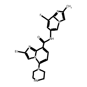 CCc1cn2c(N3CCNCC3)ccc(C(=O)Nc3cc(F)c4nc(C)cn4c3)c2n1